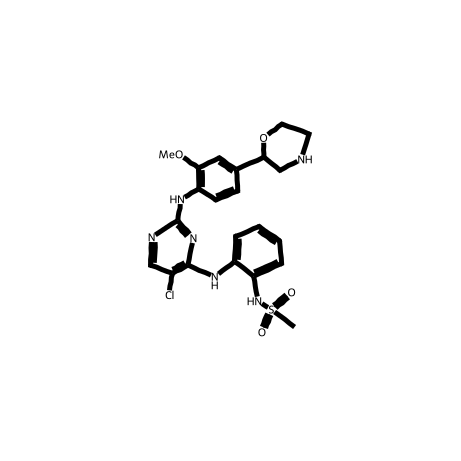 COc1cc(C2CNCCO2)ccc1Nc1ncc(Cl)c(Nc2ccccc2NS(C)(=O)=O)n1